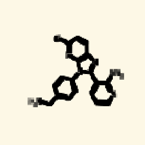 NCc1ccc(-n2c(-c3cccnc3N)nc3ccc(Cl)nc32)cc1